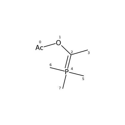 CC(=O)OC(C)=P(C)(C)C